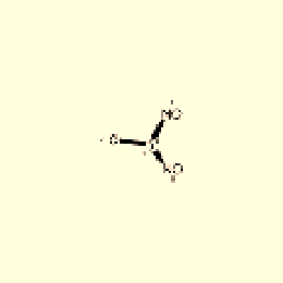 O=N[S+]([O-])N=O